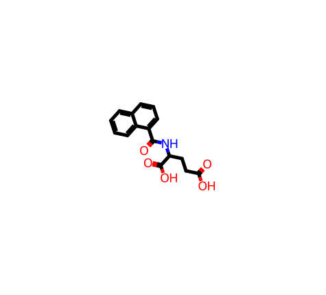 O=C(O)CCC(NC(=O)c1cccc2ccccc12)C(=O)O